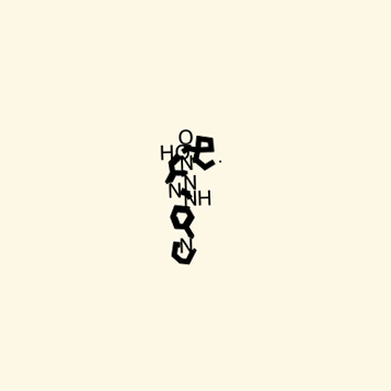 [CH2]CC(n1ccc2cnc(Nc3cccc(CN4CCCCC4)c3)nc21)C1(C(=O)O)CCC1